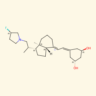 CC(CN1CC[C@@H](F)C1)[C@H]1CC[C@H]2/C(=C/C=C3C[C@@H](O)C[C@H](O)C3)CCC[C@]12C